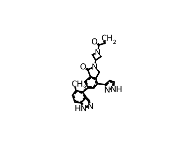 C=CC(=O)N1CC(N2Cc3c(cc(-c4c(C)ccc5[nH]ncc45)cc3-c3cc[nH]n3)C2=O)C1